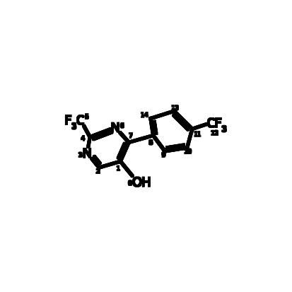 Oc1cnc(C(F)(F)F)nc1-c1ccc(C(F)(F)F)cc1